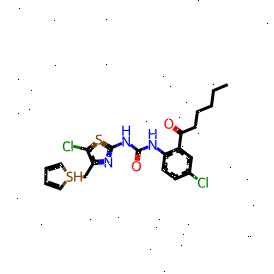 CCCCCC(=O)c1cc(Cl)ccc1NC(=O)Nc1nc(C[SH]2C=CC=C2)c(Cl)s1